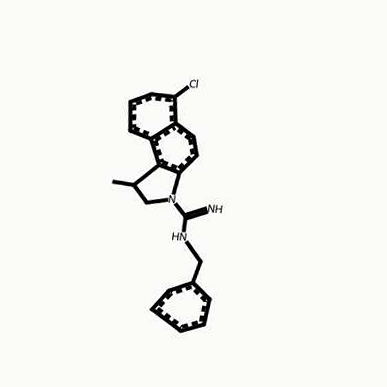 CC1CN(C(=N)NCc2ccccc2)c2ccc3c(Cl)cccc3c21